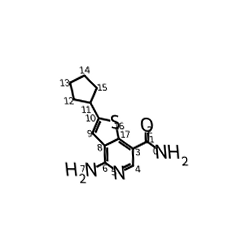 NC(=O)c1cnc(N)c2cc(C3CCCC3)sc12